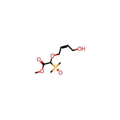 COC(=O)C(OC/C=C\CO)P(C)(C)=O